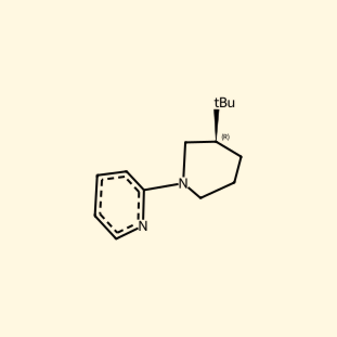 CC(C)(C)[C@H]1CCCN(c2ccccn2)C1